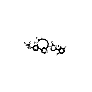 COC(=O)Nc1ccc2c(c1)NC(=O)[C@H](C)CCC[C@H](N1CCC(c3c(F)ccc(Cl)c3F)NC1=O)c1cc-2ccn1